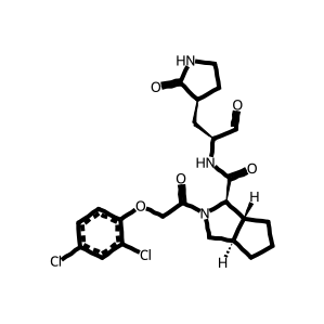 O=C[C@H](C[C@@H]1CCNC1=O)NC(=O)[C@H]1[C@@H]2CCC[C@H]2CN1C(=O)COc1ccc(Cl)cc1Cl